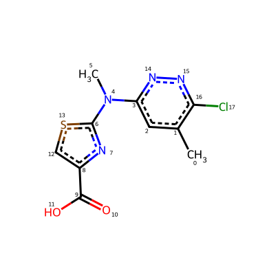 Cc1cc(N(C)c2nc(C(=O)O)cs2)nnc1Cl